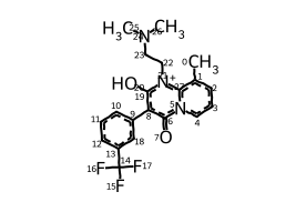 Cc1cccn2c(=O)c(-c3cccc(C(F)(F)F)c3)c(O)[n+](CCN(C)C)c12